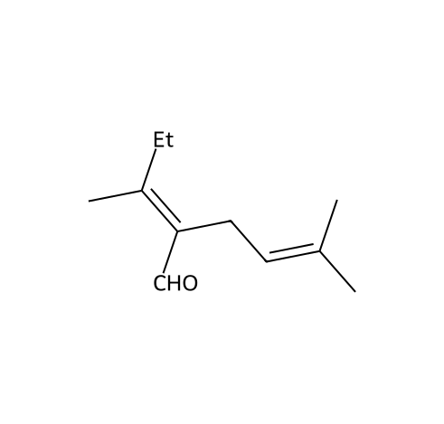 CCC(C)=C(C=O)CC=C(C)C